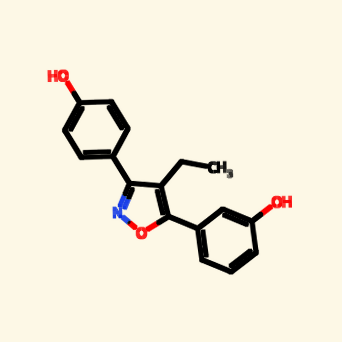 CCc1c(-c2ccc(O)cc2)noc1-c1cccc(O)c1